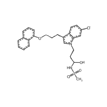 CS(=O)(=O)NC(O)CCn1cc(CCCOc2cccc3ccccc23)c2ccc(Cl)cc21